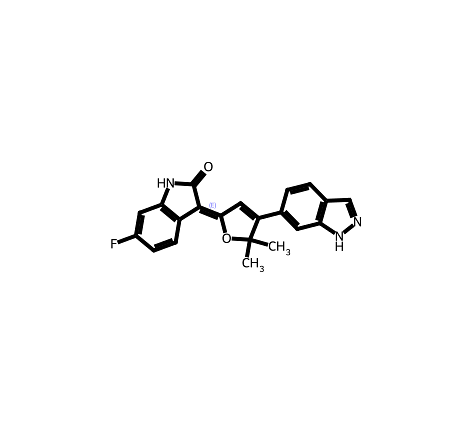 CC1(C)O/C(=C2/C(=O)Nc3cc(F)ccc32)C=C1c1ccc2cn[nH]c2c1